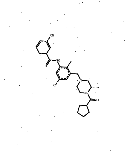 Cc1c(CN2CCN(C(=O)C3CCCC3)[C@@H](C)C2)cc(Cl)cc1NC(=O)C1C=C(C#N)C=CC1